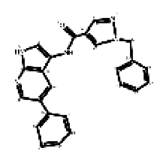 O=C(Nc1c[nH]c2ncc(-c3ccccc3)cc12)c1cnn(Cc2ccccc2)c1